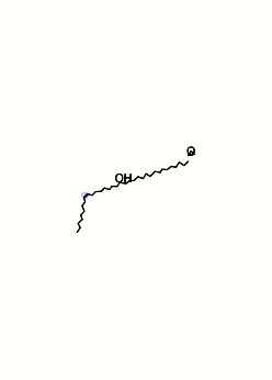 C1CO1.CCCCCCCC/C=C\CCCCCCCC(O)CCCCCCCCCCCCCCCC